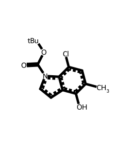 Cc1cc(Cl)c2c(ccn2C(=O)OC(C)(C)C)c1O